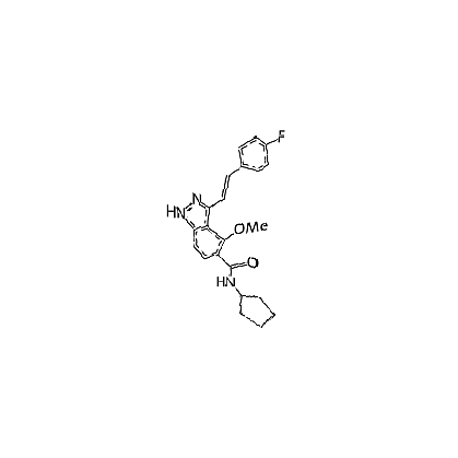 COc1c(C(=O)NC2CCCC2)ccc2[nH]nc(C=Cc3ccc(F)cc3)c12